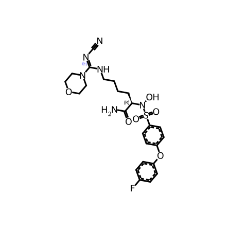 N#C/N=C(\NCCCC[C@H](C(N)=O)N(O)S(=O)(=O)c1ccc(Oc2ccc(F)cc2)cc1)N1CCOCC1